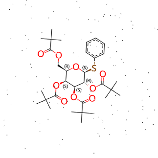 CC(C)(C)C(=O)OC[C@H]1O[C@@H](Sc2ccccc2)[C@H](OC(=O)C(C)(C)C)[C@@H](OC(=O)C(C)(C)C)[C@H]1OC(=O)C(C)(C)C